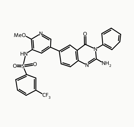 COc1ncc(-c2ccc3nc(N)n(-c4ccccc4)c(=O)c3c2)cc1NS(=O)(=O)c1cccc(C(F)(F)F)c1